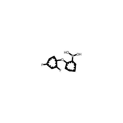 OB(O)c1ccccc1Oc1ccc(F)cc1F